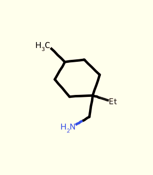 CCC1(CN)CCC(C)CC1